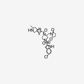 CC1Cc2nc(C(=O)N3CCN(S(=O)(=O)c4cc5cc(Cl)ccc5[nH]4)CC3CN3C(=O)CCC3=O)sc2CN1